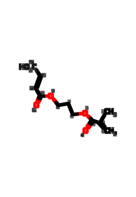 C=C(C)C(=O)OCCCOC(=O)C=CC(=O)O